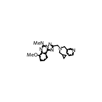 CNc1nc2c(OC)cccc2c2nc(CN(Cc3cccnc3)CC3CC3)nn12